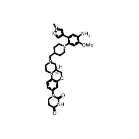 COc1cc(N2CCC(CN3CCN4c5ccc(N6CCC(=O)NC6=O)cc5OC[C@@H]4C3)CC2)c(-c2cnn(C)c2)cc1N